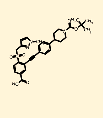 Cn1ccc(CS(=O)(=O)c2ccc(C(=O)O)cc2C#Cc2ccc(C3CCN(C(=O)OC(C)(C)C)CC3)cc2)n1